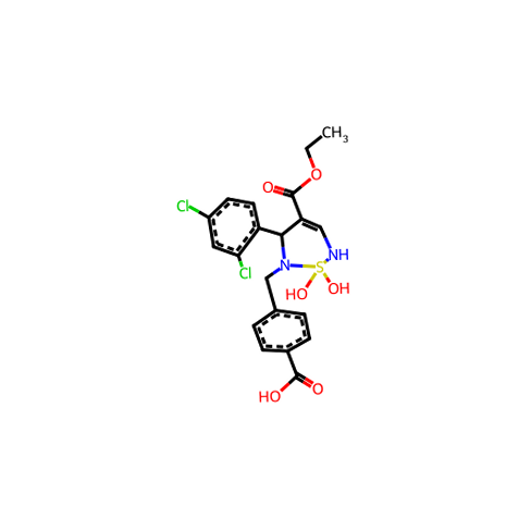 CCOC(=O)C1=CNS(O)(O)N(Cc2ccc(C(=O)O)cc2)C1c1ccc(Cl)cc1Cl